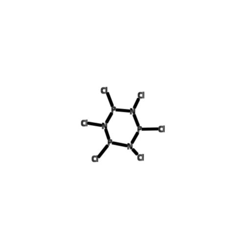 ClN1P(Cl)N(Cl)P(Cl)N(Cl)P1Cl